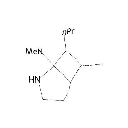 CCCC1C(C)C2CCNC12NC